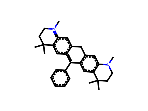 CN1CCC(C)(C)c2cc3c(cc21)Cc1cc2c(cc1=C3c1ccccc1)C(C)(C)CC[N+]=2C